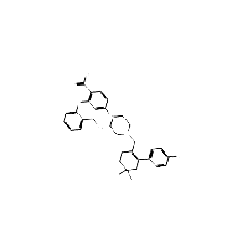 CC1(C)CCC(CN2CCN(c3ccc(C(=O)O)c(Oc4ccccc4CO)c3)CC2)=C(c2ccc(Cl)cc2)C1